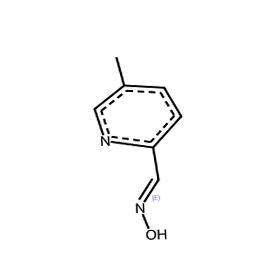 Cc1ccc(/C=N/O)nc1